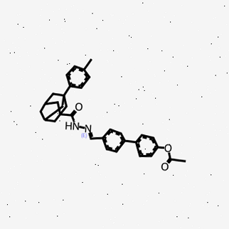 CC(=O)Oc1ccc(-c2ccc(/C=N/NC(=O)C34CC5CC(C3)CC(c3ccc(C)cc3)(C5)C4)cc2)cc1